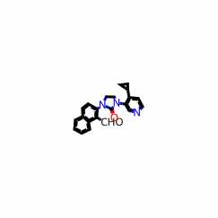 O=Cc1c(N2CCN(c3cnccc3C3CC3)C2=O)ccc2ccccc12